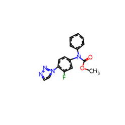 COC(=O)N(c1ccccc1)c1ccc(-n2ccnn2)c(F)c1